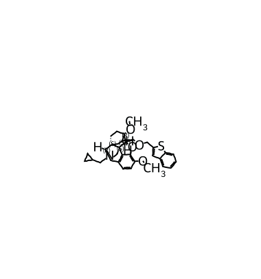 COc1ccc2c3c1O[C@H]1[C@@]4(OC)CC[C@@]5(C[C@H]4COCc4cc6ccccc6s4)[C@@H](C2)N(CC2CC2)CC[C@]315